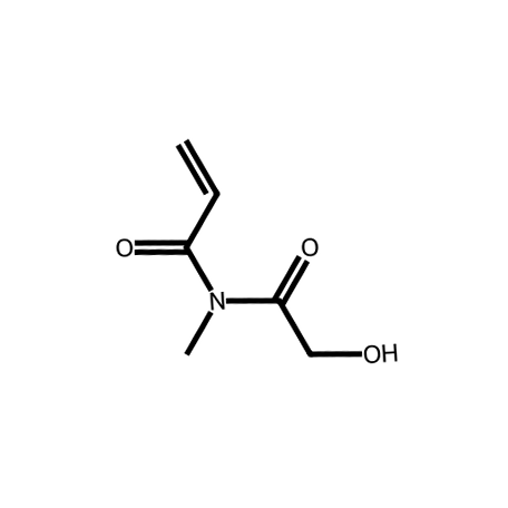 C=CC(=O)N(C)C(=O)CO